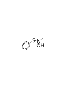 CN(O)Sc1ccccc1